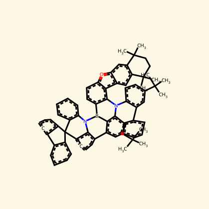 CC(C)(C)c1ccc(N2c3cc(C(C)(C)C)cc4c3B(c3ccc5oc6cc7c(cc6c5c32)C(C)(C)CCC7(C)C)N2c3ccccc3C3(c5ccccc5-c5ccccc53)c3cccc-4c32)c(-c2ccccc2)c1